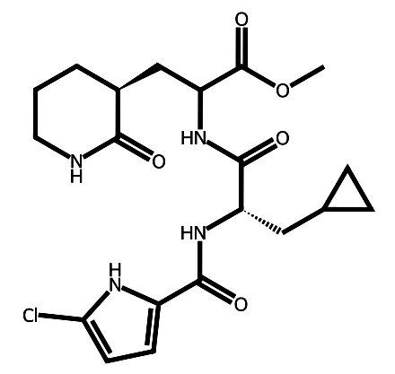 COC(=O)C(C[C@@H]1CCCNC1=O)NC(=O)[C@H](CC1CC1)NC(=O)c1ccc(Cl)[nH]1